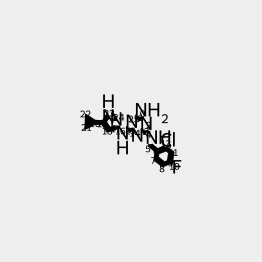 Nc1nc(NCc2ccc(F)cc2Cl)nc(Nc2cc(C3CC3)[nH]n2)n1